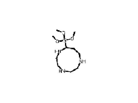 CO[Si](OC)(OC)C1CCNCCNCCN1